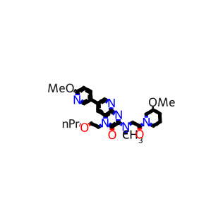 CCCOCCn1c(=O)c(N(C)CC(=O)N2CCC[C@H](OC)C2)nc2ncc(-c3ccc(OC)nc3)cc21